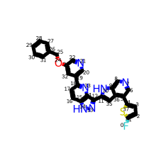 Fc1ccc(-c2cncc3[nH]c(-c4n[nH]c5ccc(-c6cncc(OCc7ccccc7)c6)nc45)cc23)s1